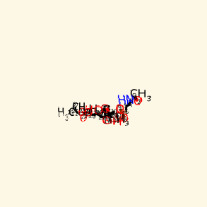 CC(=O)NCCCS(=O)(=O)OCC(C)(C)[C@](O)(CCCOC(=O)OCC(C)C)C(=O)O